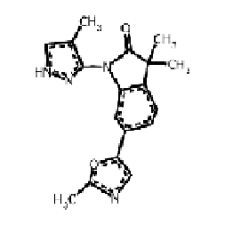 Cc1ncc(-c2ccc3c(c2)N(c2n[nH]cc2C)C(=O)C3(C)C)o1